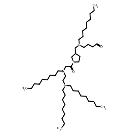 CCCCCCCCCN(CCCCCCCCC)CCN(CCCCCCCCC)CC(=O)N1CCC(CN(CCCC=O)CCCCCCCCC)C1